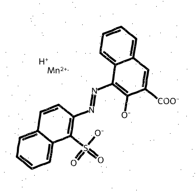 O=C([O-])c1cc2ccccc2c(N=Nc2ccc3ccccc3c2S(=O)(=O)[O-])c1[O-].[H+].[Mn+2]